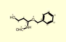 O=CNC(CCO)OCc1ccccc1